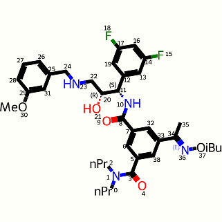 CCCN(CCC)C(=O)c1cc(C(=O)N[C@@H](c2cc(F)cc(F)c2)[C@H](O)CNCc2cccc(OC)c2)cc(/C(C)=N/OCC(C)C)c1